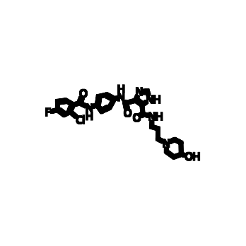 O=C(Nc1ccc(NC(=O)c2nc[nH]c2C(=O)NCCCN2CCC(O)CC2)cc1)c1ccc(F)cc1Cl